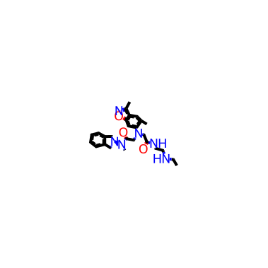 CCNCCNC(=O)CN(CC(=O)N(C)N1Cc2ccccc2C1)c1cc2onc(C)c2cc1C